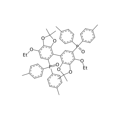 CCOc1cc(P(=O)(c2ccc(C)cc2)c2ccc(C)cc2)c(-c2cc(P(=O)(c3ccc(C)cc3)c3ccc(C)cc3)c(OCC)c3c2OC(C)(C)O3)c2c1OC(C)(C)O2